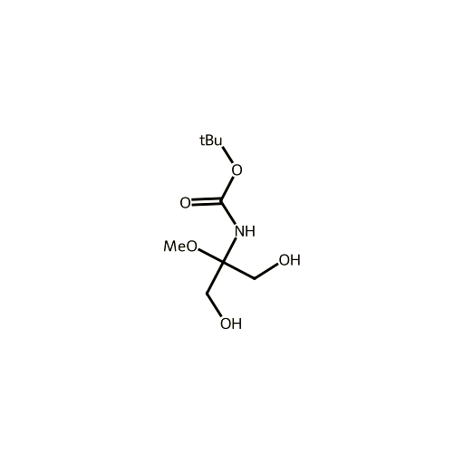 COC(CO)(CO)NC(=O)OC(C)(C)C